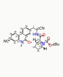 Cn1c(=O)c2cc(CC(C#N)NC(=O)[C@@H]3[C@H]4CC[C@H](C4)N3C(=O)OC(C)(C)C)ccc2c2ccc(C#N)cc21